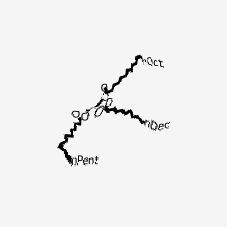 CCCCC/C=C\C/C=C\CCCCCCCC(=O)OC[C@H](COC(=O)CCCCCCCCC/C=C\CCCCCCCC)OC(=O)CCCCCCCCCCCCCCCCCCC